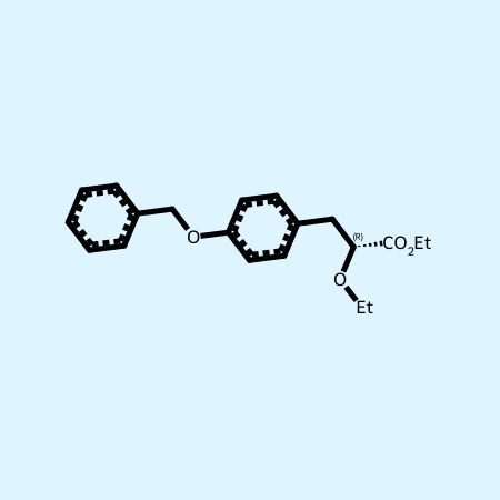 CCOC(=O)[C@@H](Cc1ccc(OCc2ccccc2)cc1)OCC